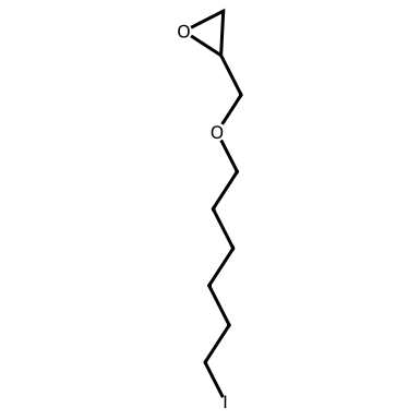 ICCCCCCOCC1CO1